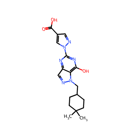 CC1(C)CCC(Cn2ncc3nc(-n4cc(C(=O)O)cn4)nc(O)c32)CC1